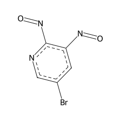 O=Nc1cc(Br)cnc1N=O